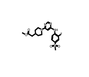 COC(=O)CC1CCN(c2cc(Nc3ccc(S(C)(=O)=O)cc3F)ncn2)CC1